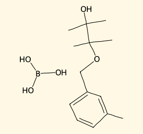 Cc1cccc(COC(C)(C)C(C)(C)O)c1.OB(O)O